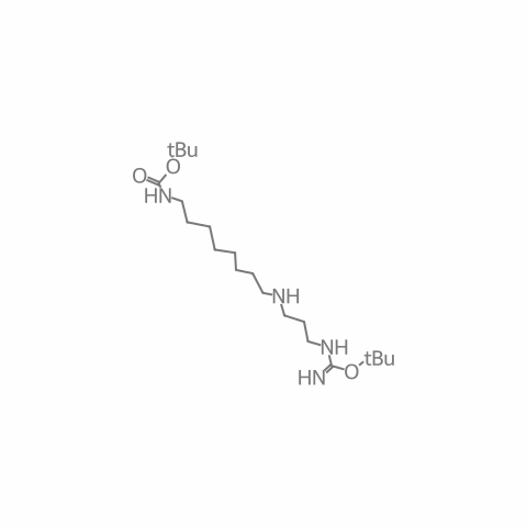 CC(C)(C)OC(=N)NCCCNCCCCCCCCNC(=O)OC(C)(C)C